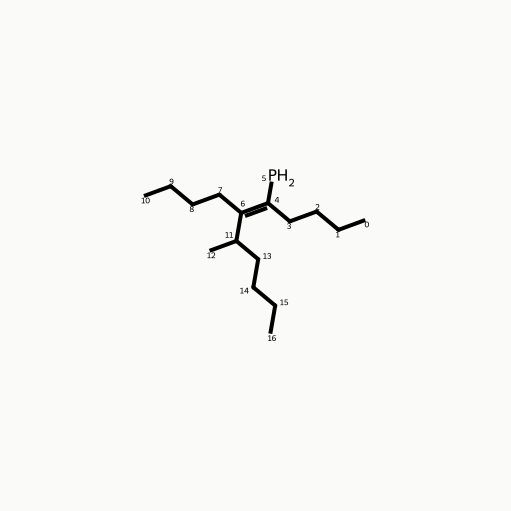 CCCCC(P)=C(CCCC)C(C)CCCC